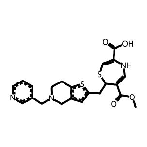 COC(=O)C1=CNC(C(=O)O)=CSC1Cc1cc2c(s1)CCN(Cc1cccnc1)C2